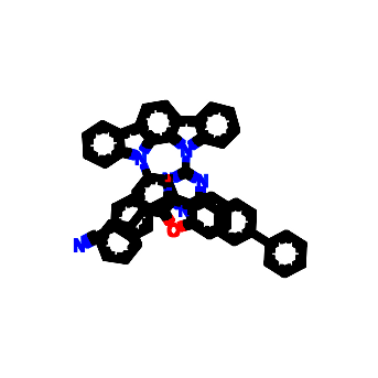 N#Cc1ccc(-c2nc(-c3ccc(-c4ccccc4)cc3)nc(-n3c4ccccc4c4ccc5c6ccccc6n(-c6cc(-c7ccccc7)c7oc8ccccc8c7c6)c5c43)n2)cc1